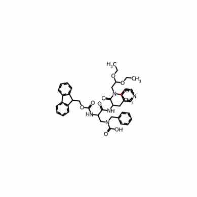 CCOC(CN(C(=O)C(Cc1cccnc1)NC(=O)C(CN(Cc1ccccc1)C(=O)O)NC(=O)OCC1c2ccccc2-c2ccccc21)C(C)C)OCC